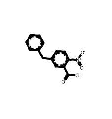 O=C(Cl)c1cc(Cc2ccccc2)ccc1[N+](=O)[O-]